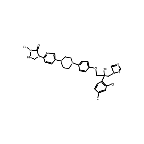 CCC(C)N1NCN(c2ccc(N3CCN(c4ccc(OCC(O)(Cn5cncn5)c5ccc(Cl)cc5Cl)cc4)CC3)cn2)C1=O